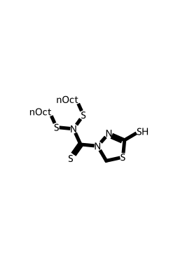 CCCCCCCCSN(SCCCCCCCC)C(=S)N1CSC(S)=N1